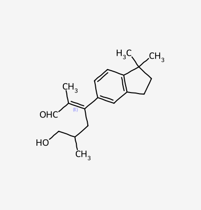 C/C(C=O)=C(/CC(C)CO)c1ccc2c(c1)CCC2(C)C